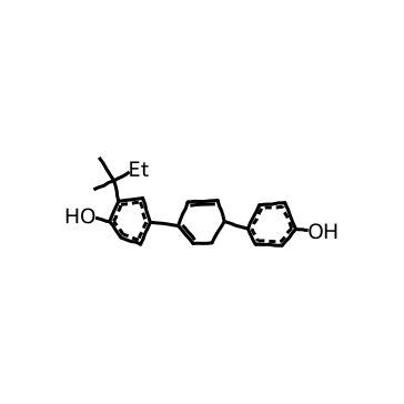 CCC(C)(C)c1cc(C2=CCC(c3ccc(O)cc3)C=C2)ccc1O